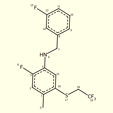 Cc1cc(F)c(NCc2cccc(F)c2)cc1SCC(F)(F)F